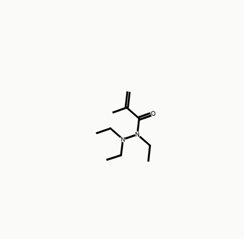 C=C(C)C(=O)N(CC)N(CC)CC